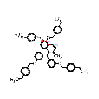 C=Cc1ccc(CO/C=C/C=C\C(=C)C(c2cccc(OCc3ccc(C=C)cc3)c2)C(c2cccc(OCc3ccc(C=C)cc3)c2)c2cccc(OCc3ccc(C=C)cc3)c2)cc1